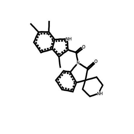 Cc1ccc2c(C)c(C(=O)N3C(=O)C4(CCNCC4)c4ccccc43)[nH]c2c1C